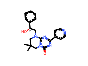 CC1(C)CN(C[C@@H](O)c2ccccc2)c2nc(-c3ccncc3)nc(=O)n2C1